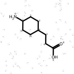 NC1CCC(CCC(=O)O)CC1